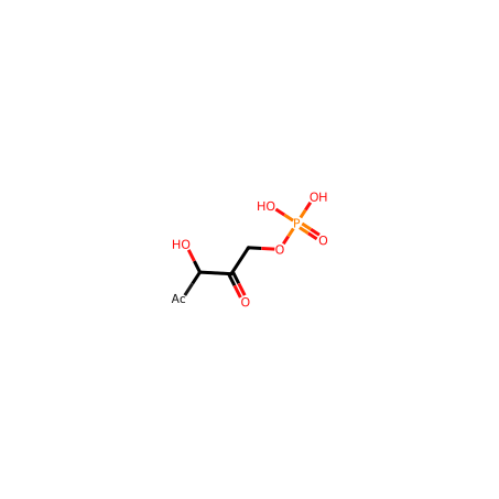 CC(=O)C(O)C(=O)COP(=O)(O)O